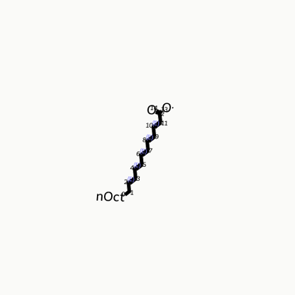 CCCCCCCCC/C=C/C=C/C=C/C=C/C=C/C([O])=O